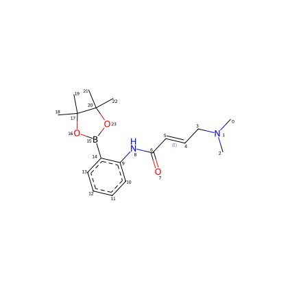 CN(C)C/C=C/C(=O)Nc1ccccc1B1OC(C)(C)C(C)(C)O1